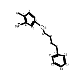 [CH2]c1ccc(OCCCCc2ccccc2)cc1F